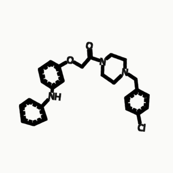 O=C(COc1cccc(Nc2ccccc2)c1)N1CCN(Cc2ccc(Cl)cc2)CC1